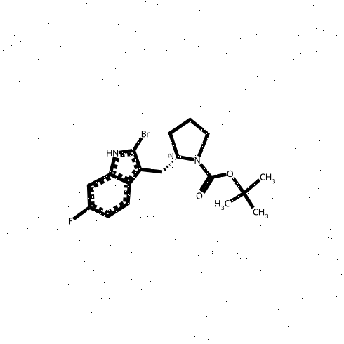 CC(C)(C)OC(=O)N1CCC[C@H]1Cc1c(Br)[nH]c2cc(F)ccc12